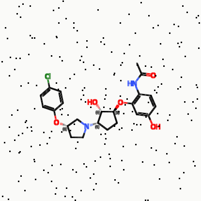 CC(=O)Nc1ccc(O)cc1O[C@H]1CC[C@H](N2CC[C@H](Oc3ccc(Cl)cc3)C2)[C@@H]1O